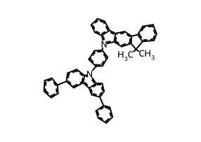 CC1(C)c2ccccc2-c2cc3c4ccccc4n(-c4ccc(-n5c6ccc(-c7ccccc7)cc6c6cc(-c7ccccc7)ccc65)cc4)c3cc21